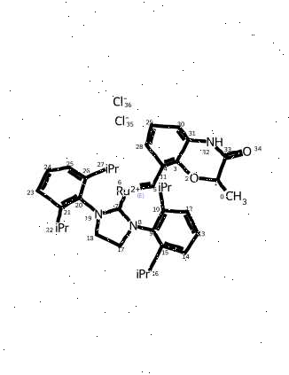 CC1Oc2c(/[CH]=[Ru+2]/[CH]3N(c4c(C(C)C)cccc4C(C)C)CCN3c3c(C(C)C)cccc3C(C)C)cccc2NC1=O.[Cl-].[Cl-]